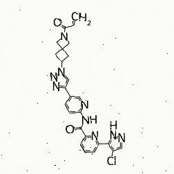 C=CC(=O)N1CC2(CC(n3cc(-c4ccc(NC(=O)c5cccc(-c6[nH]ncc6Cl)n5)nc4)nn3)C2)C1